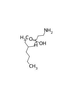 CCCCC(CC)C[SH](=O)(O)CCN